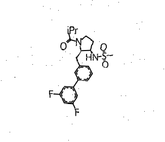 CC(C)C(=O)N1CC[C@@H](NS(C)(=O)=O)[C@H]1Cc1cccc(-c2cc(F)cc(F)c2)c1